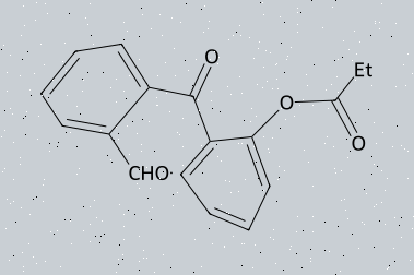 CCC(=O)Oc1ccccc1C(=O)c1ccccc1[C]=O